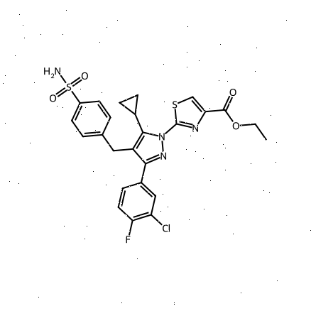 CCOC(=O)c1csc(-n2nc(-c3ccc(F)c(Cl)c3)c(Cc3ccc(S(N)(=O)=O)cc3)c2C2CC2)n1